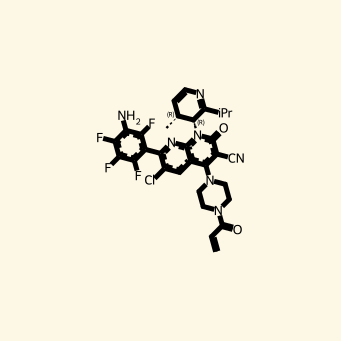 C=CC(=O)N1CCN(c2c(C#N)c(=O)n([C@H]3C(C(C)C)=NC=C[C@H]3C)c3nc(-c4c(F)c(N)c(F)c(F)c4F)c(Cl)cc23)CC1